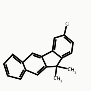 CC1(C)c2ccc(Cl)cc2-c2cc3ccccc3cc21